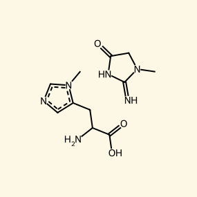 CN1CC(=O)NC1=N.Cn1cncc1CC(N)C(=O)O